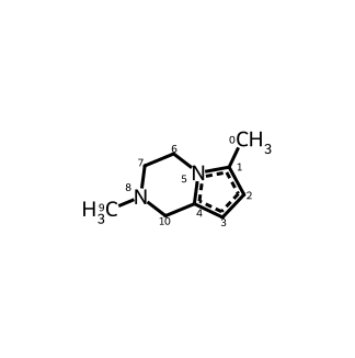 Cc1ccc2n1CCN(C)C2